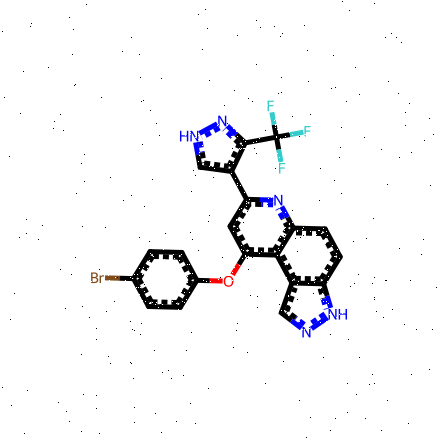 FC(F)(F)c1n[nH]cc1-c1cc(Oc2ccc(Br)cc2)c2c(ccc3[nH]ncc32)n1